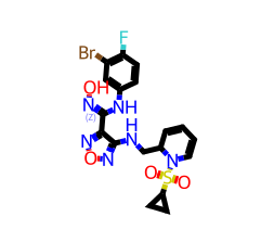 O=S(=O)(C1CC1)N1C=CC=CC1CNc1nonc1/C(=N/O)Nc1ccc(F)c(Br)c1